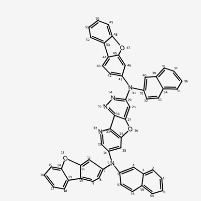 c1ccc2cc(N(c3ccc4c(c3)oc3ccccc34)c3cnc4c(c3)oc3cc(N(c5ccc6ccccc6c5)c5ccc6c(c5)oc5ccccc56)nnc34)ccc2c1